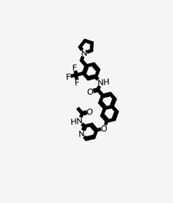 CC(=O)Nc1cc(Oc2ccc3ccc(C(=O)Nc4ccc(CN5CCCC5)c(C(F)(F)F)c4)cc3c2)ccn1